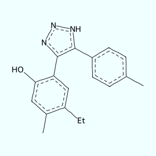 CCc1cc(-c2nn[nH]c2-c2ccc(C)cc2)c(O)cc1C